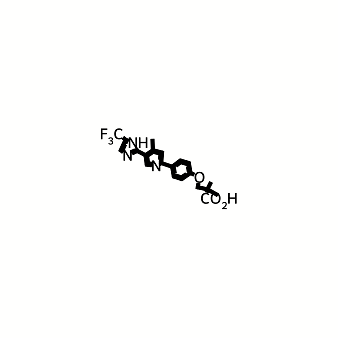 Cc1cc(-c2ccc(OCC(C)(C)C(=O)O)cc2)ncc1-c1ncc(C(F)(F)F)[nH]1